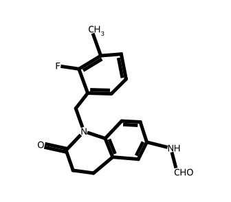 Cc1cccc(CN2C(=O)CCc3cc(NC=O)ccc32)c1F